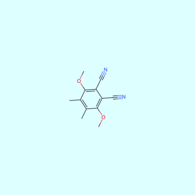 COc1c(C)c(C)c(OC)c(C#N)c1C#N